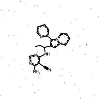 CCC(Nc1ncnc(N)c1C#N)c1cc2ccccn2c1-c1ccccn1